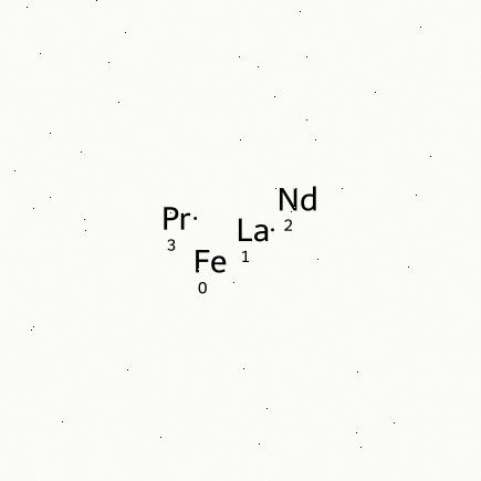 [Fe].[La].[Nd].[Pr]